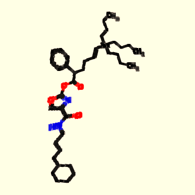 CCC[CH2][Sn]([CH]=CCCC(C(=O)Oc1nc(C(=O)NCCCCC2CCCCC2)co1)c1ccccc1)([CH2]CCC)[CH2]CCC